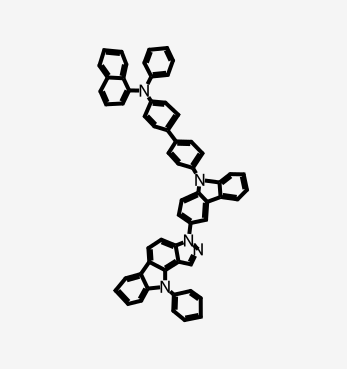 c1ccc(N(c2ccc(-c3ccc(-n4c5ccccc5c5cc(-n6ncc7c6ccc6c8ccccc8n(-c8ccccc8)c67)ccc54)cc3)cc2)c2cccc3ccccc23)cc1